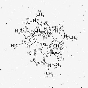 CC1=C(C)C(C)C([Si](c2cccc(N(C)C)c2N(C)C)(c2cccc(N(C)C)c2N(C)C)c2cccc(N(C)C)c2N(C)C)=C1C